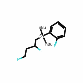 CCC[CH2][Sn]([CH2]CCC)([CH2]C(F)CCF)[c]1ccccc1F